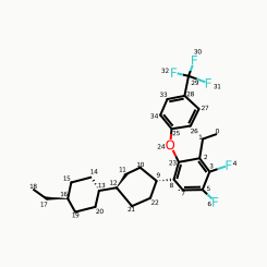 CCc1c(F)c(F)[c]c([C@H]2CC[C@H]([C@H]3CC[C@H](CC)CC3)CC2)c1Oc1ccc(C(F)(F)F)cc1